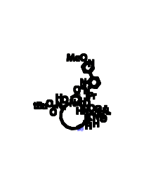 COc1ccc(-c2cccc3c2nc(O[C@@H]2C[C@H]4C(=O)N[C@]5(C(=O)NS(=O)(=O)N(C)C)C[C@H]5/C=C\CCCCC[C@H](NC(=O)OC(C)(C)C)C(=O)N4C2)n3C(C)C)cn1